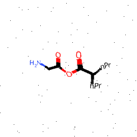 CCCC(CCC)C(=O)OC(=O)CN